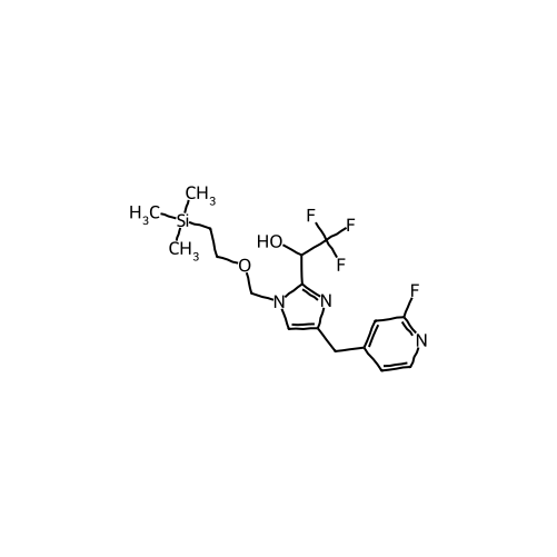 C[Si](C)(C)CCOCn1cc(Cc2ccnc(F)c2)nc1C(O)C(F)(F)F